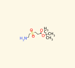 CC(C)(C)OC(=O)CCS(=O)(=O)CCN